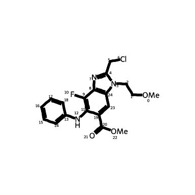 COCCn1c(CCl)nc2c(F)c(Nc3ccccc3)c(C(=O)OC)cc21